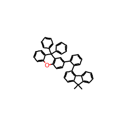 CC1(C)c2ccccc2-c2c(-c3ccccc3-c3ccc4c(c3)C(c3ccccc3)(c3ccccc3)c3ccccc3O4)cccc21